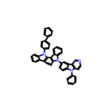 c1ccc(-c2ccc(-n3c4ccccc4c4ccc5c(c6ccccc6n5-c5ccc6c(c5)c5cnccc5n6-c5ccccc5)c43)cc2)cc1